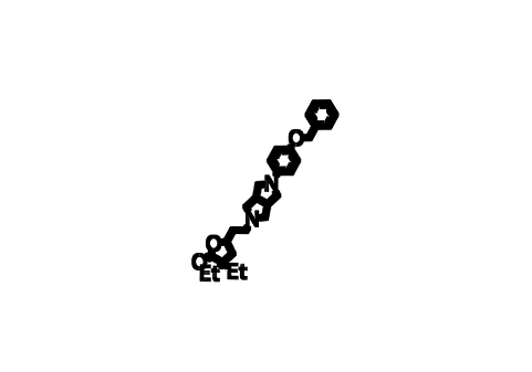 CCC1(CC)CC(CCN2CC3CN(c4ccc(OCc5ccccc5)cc4)CC3C2)OC1=O